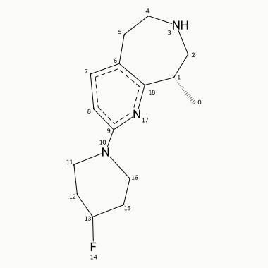 C[C@H]1CNCCc2ccc(N3CCC(F)CC3)nc21